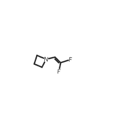 FC(F)=CN1CCC1